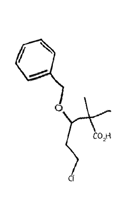 CC(C)(C(=O)O)C(CCCl)OCc1ccccc1